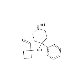 Cl.O=CC1(NC2(c3ccccc3)CCNCC2)CCC1